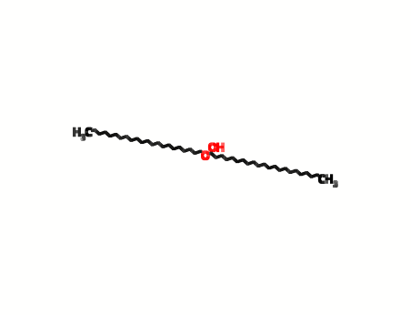 CCCCCCCCCCCCCCCCCCCCCCOC(O)CCCCCCCCCCCCCCCCCCCCC